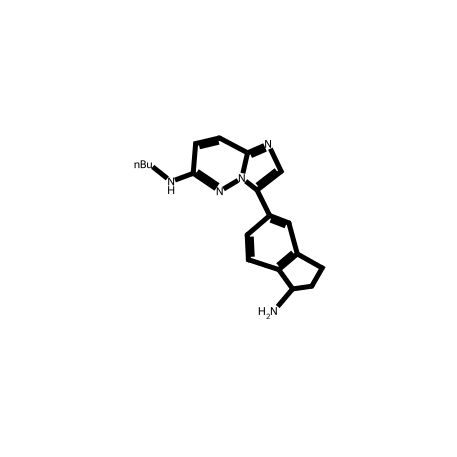 CCCCNc1ccc2ncc(-c3ccc4c(c3)CCC4N)n2n1